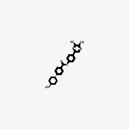 CCC[C@H]1CC[C@H](c2ccc(C(=O)Oc3ccc(-c4cnc(C#N)c(C#N)n4)cc3)cc2)CC1